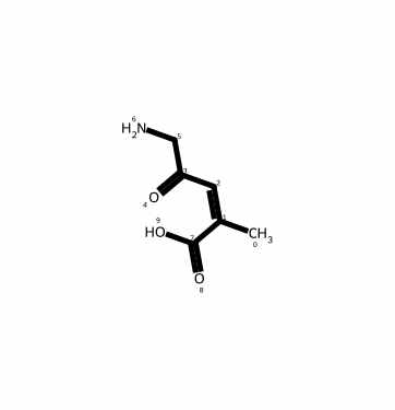 CC(=CC(=O)CN)C(=O)O